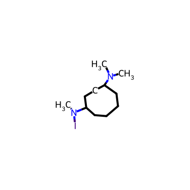 CN(C)C1CCCCC(N(C)I)CC1